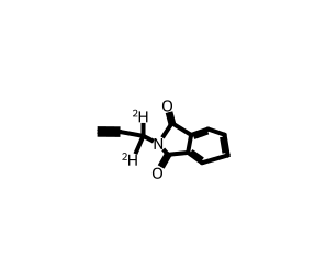 [2H]C([2H])(C#C)N1C(=O)c2ccccc2C1=O